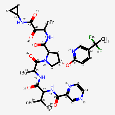 CCCC(NC(=O)C1C[C@H](Oc2ccc(C(C)(F)F)cn2)CN1C(=O)C(NC(=O)C(NC(=O)c1cnccn1)C(CCC)CCC)C(C)(C)C)C(=O)C(=O)NC1CC1